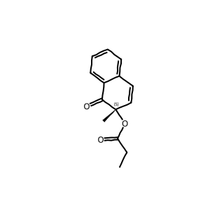 CCC(=O)O[C@@]1(C)C=Cc2ccccc2C1=O